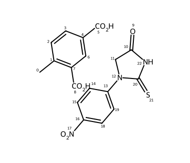 Cc1ccc(C(=O)O)cc1C(=O)O.O=C1CN(c2ccc([N+](=O)[O-])cc2)C(=S)N1